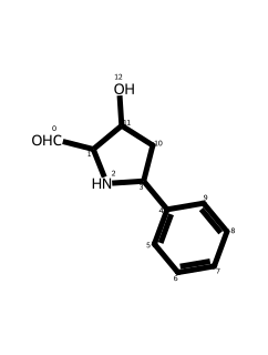 O=CC1NC(c2ccccc2)CC1O